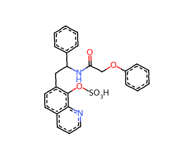 O=C(COc1ccccc1)NC(Cc1ccc2cccnc2c1OS(=O)(=O)O)c1ccccc1